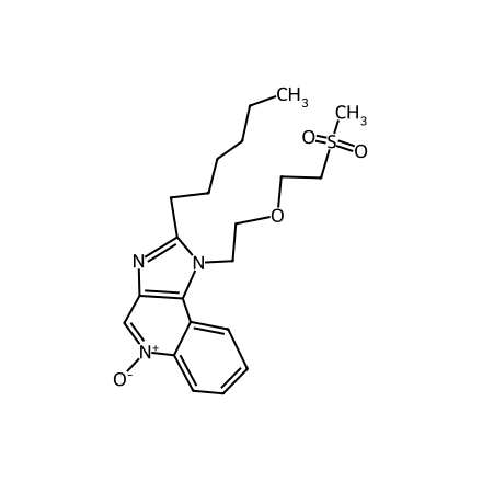 CCCCCCc1nc2c[n+]([O-])c3ccccc3c2n1CCOCCS(C)(=O)=O